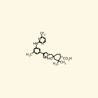 Cc1cc(Nc2nccc(C(F)(F)F)n2)cc(-c2cn(C[C@@]3(O)CC[C@H](C(=O)O)C(C)(C)C3)nn2)c1